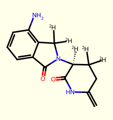 [2H]C1([2H])c2c(N)cccc2C(=O)N1[C@]1([2H])C(=O)NC(=C)CC1([2H])[2H]